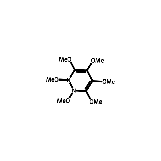 COC1=C(OC)N(OC)N(OC)C(OC)=C1OC